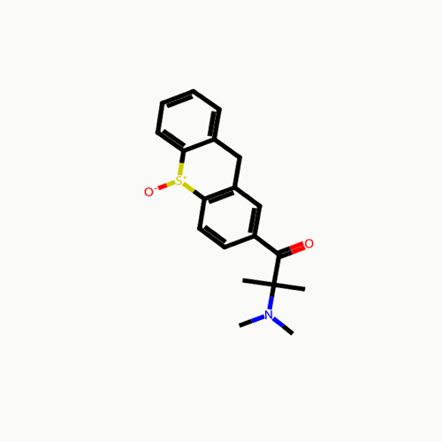 CN(C)C(C)(C)C(=O)c1ccc2c(c1)Cc1ccccc1[S+]2[O-]